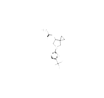 NC(=O)OC1CN(c2nc(C(F)(F)F)cs2)CC12CC2